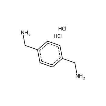 Cl.Cl.NCc1ccc(CN)cc1